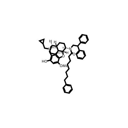 COc1cc(O)c2c3c1O[C@H]1[C@@H](N(CC(c4ccccc4)c4ccccc4)C(=O)CCCCCCCc4ccccc4)CC[C@H]4[C@@H](C2)N(CC2CC2)CC[C@@]341